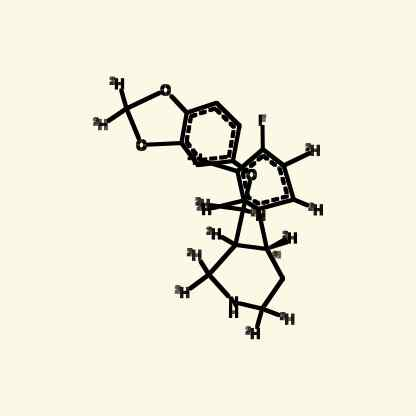 [2H]c1c([2H])c([C@]2([2H])CC([2H])([2H])NC([2H])([2H])C2([2H])C([2H])([2H])Oc2ccc3c(c2)OC([2H])([2H])O3)c([2H])c([2H])c1F